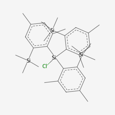 Cc1cc(C)c([Si](Cl)(c2c(C)cc(C)cc2[Si](C)(C)C)c2c(C)cc(C)cc2[Si](C)(C)C)c([Si](C)(C)C)c1